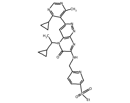 CCS(=O)(=O)c1ccc(CNc2nc3nnc(-c4c(C)ncnc4C4CC4)cc3n(C(C)C3CC3)c2=O)nc1